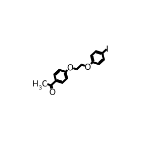 CC(=O)c1ccc(OCCOc2ccc(I)cc2)cc1